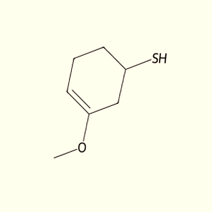 COC1=CCCC(S)C1